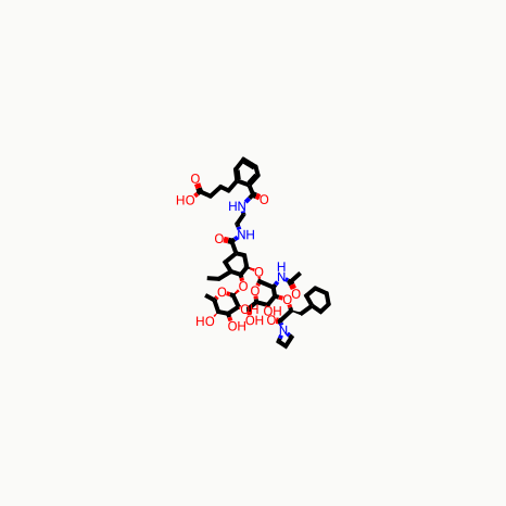 CCC1CC(C(=O)NCCNC(=O)c2ccccc2CCCC(=O)O)C[C@@H](O[C@@H]2OC(CO)[C@H](O)C(O[C@@H](CC3CCCCC3)C(=O)N3CCC3)C2NC(C)=O)C1O[C@@H]1OC(C)[C@@H](O)C(O)C1O